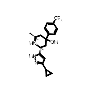 C[C@H]1CC(O)(c2ccc(C(F)(F)F)cc2)C[C@@H](c2cc(C3CC3)n[nH]2)N1